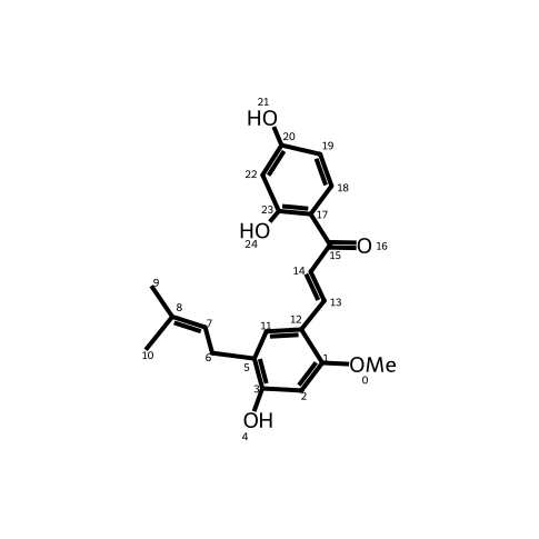 COc1cc(O)c(CC=C(C)C)cc1C=CC(=O)c1ccc(O)cc1O